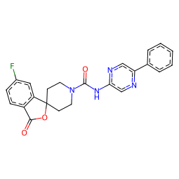 O=C1OC2(CCN(C(=O)Nc3cnc(-c4ccccc4)cn3)CC2)c2cc(F)ccc21